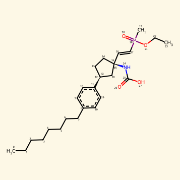 CCCCCCCCc1ccc([C@H]2CC[C@@](C=CP(C)(=O)OCC)(NC(=O)O)C2)cc1